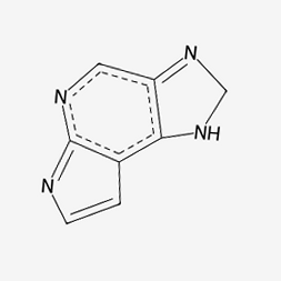 C1=Cc2c3c(cnc2=N1)=NCN3